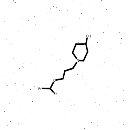 CCCC(CC)OCCCN1CCC(O)CC1